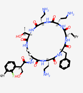 CC(=O)Nc1cccc([C@H](CO)C(=O)N[C@H]2CCNC(=O)[C@H]([C@@H](C)O)NC(=O)[C@H](CCN)NC(=O)[C@H](CCN)NC(=O)[C@H](CC(C)C)NC(=O)[C@@H](Cc3ccccc3)NC(=O)[C@H](CCN)NC2=O)c1F